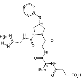 CC[C@H](C)[C@H](NC(=O)CCC(=O)O)C(=O)NCC(=O)N1C[C@@H](Sc2ccccc2)C[C@H]1C(=O)NCc1nn[nH]n1